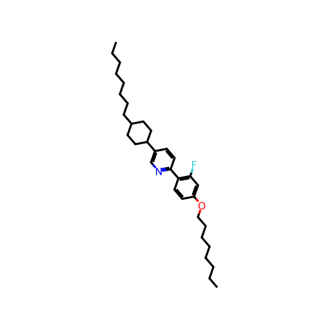 CCCCCCCCOc1ccc(-c2ccc(C3CCC(CCCCCCCC)CC3)cn2)c(F)c1